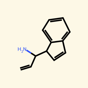 C=CC(N)C1C=Cc2ccccc21